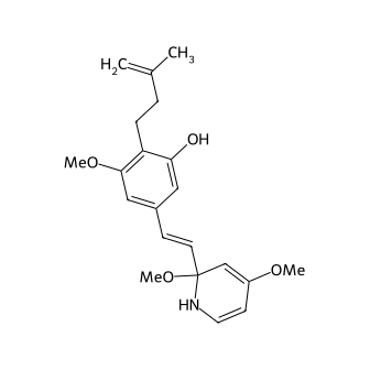 C=C(C)CCc1c(O)cc(/C=C/C2(OC)C=C(OC)C=CN2)cc1OC